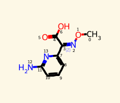 CO/N=C(\C(=O)O)c1cccc(N)n1